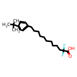 CC(C)(C)c1ccc(CCCCCCCCCCC(F)(F)C(=O)O)cc1